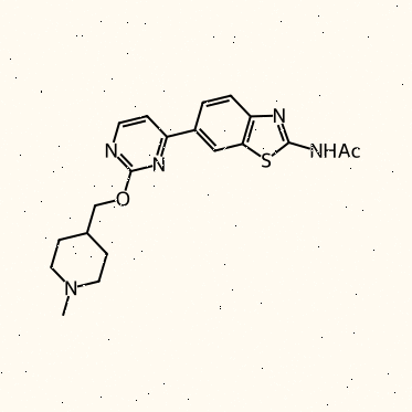 CC(=O)Nc1nc2ccc(-c3ccnc(OCC4CCN(C)CC4)n3)cc2s1